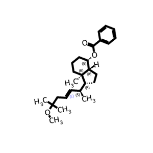 COC(C)(C)C/C=C/[C@H](C)[C@H]1CC[C@H]2[C@@H](OC(=O)c3ccccc3)CCC[C@]12C